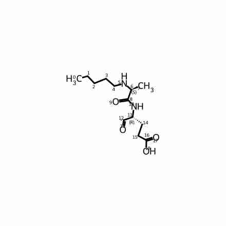 CCCCCN[C@@H](C)C(=O)N[C@@H]([C]=O)CCC(=O)O